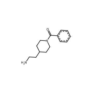 NCCC1CCN(C(=O)c2cc[c]cc2)CC1